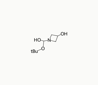 CC(C)(C)OC(O)N1CC(O)C1